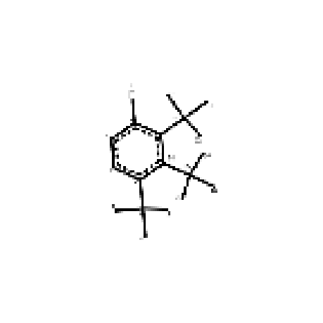 CC(C)(C)c1[c]cc(F)c(C(C)(C)C)c1C(C)(C)C